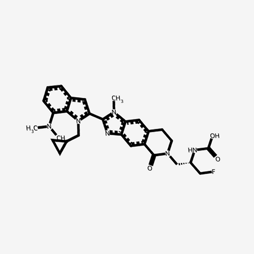 CN(C)c1cccc2cc(-c3nc4cc5c(cc4n3C)CCN(C[C@@H](CF)NC(=O)O)C5=O)n(CC3CC3)c12